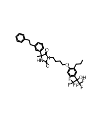 CCCc1cc(C(O)(C(F)(F)F)C(F)(F)F)ccc1OCCCCN1C(=O)NC(C)(c2cccc(CCc3ccccc3)c2)C1=O